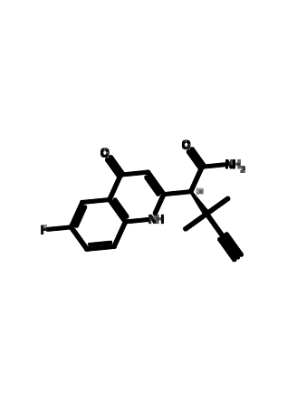 C#CC(C)(C)[C@H](C(N)=O)c1cc(=O)c2cc(F)ccc2[nH]1